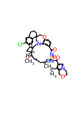 CO[C@H]1/C=C/C[C@H](C)C[S@@](=O)(NC(=O)c2cn3c(c2C)COCC3)=NC(=O)c2ccc3c(c2)N(C[C@@H]2CC[C@H]21)C[C@@]1(CCCc2cc(Cl)ccc21)CO3